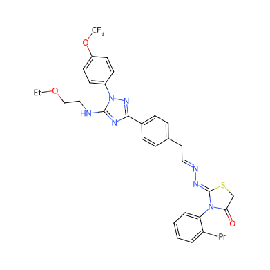 CCOCCNc1nc(-c2ccc(CC=N/N=C3\SCC(=O)N3c3ccccc3C(C)C)cc2)nn1-c1ccc(OC(F)(F)F)cc1